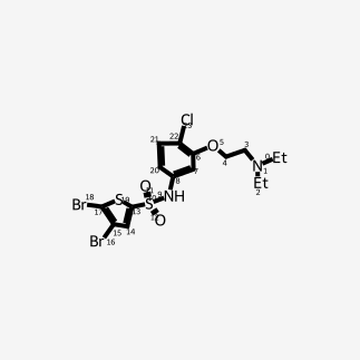 CCN(CC)CCOc1cc(NS(=O)(=O)c2cc(Br)c(Br)s2)ccc1Cl